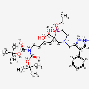 CCOP1(=O)CCN(Cc2n[nH]cc2-c2ccccc2)CC1(CCCCN(C(=O)OC(C)(C)C)C(=O)OC(C)(C)C)C(=O)O